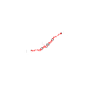 C=CC(=O)OCCOCCOC(=O)c1ccc(C(=O)Oc2ccc3c(c2)C(C)c2cc(OC(=O)c4ccc(C(=O)OCCOCCOC(=O)C=C)cc4)ccc2-3)cc1